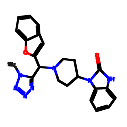 CC(C)(C)n1nnnc1C(c1cc2ccccc2o1)N1CCC(n2c(=O)[nH]c3ccccc32)CC1